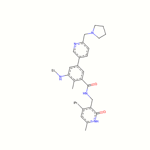 CCNc1cc(-c2ccc(CN3CCCC3)nc2)cc(C(=O)NCc2c(C(C)C)cc(C)[nH]c2=O)c1C